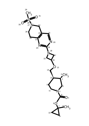 C[C@H]1CN(C(=O)OC2(C)CC2)CC[C@H]1COC1CN(c2ncc3c(n2)CCN(S(C)(=O)=O)C3)C1